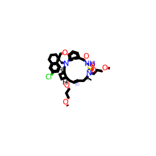 COCCCOC1/C=C/C[C@H](C)N(CCCOC)S(=O)(=O)NC(=O)c2ccc3c(c2)N(C[C@@H]2CC[C@@H]12)C[C@@]1(CCCc2cc(Cl)ccc21)CO3